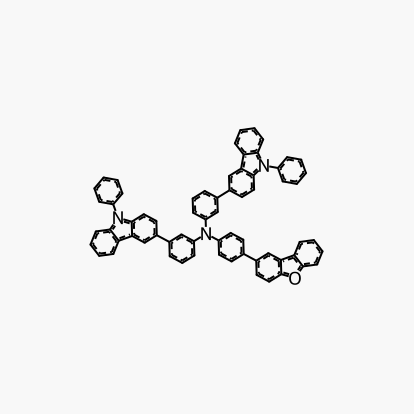 c1ccc(-n2c3ccccc3c3cc(-c4cccc(N(c5ccc(-c6ccc7oc8ccccc8c7c6)cc5)c5cccc(-c6ccc7c(c6)c6ccccc6n7-c6ccccc6)c5)c4)ccc32)cc1